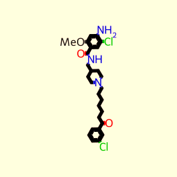 COc1cc(N)c(Cl)cc1C(=O)NCC1CCN(CCCCCCC(=O)c2cccc(Cl)c2)CC1